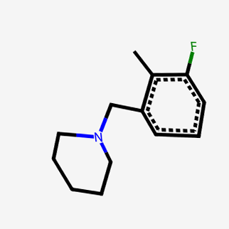 Cc1c(F)cccc1CN1CCCCC1